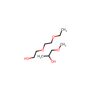 CCOCCOCCO.COCC(C)O